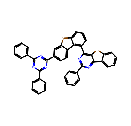 c1ccc(-c2nc(-c3ccccc3)nc(-c3ccc4c(c3)sc3cccc(-c5nc(-c6ccccc6)nc6c5sc5ccccc56)c34)n2)cc1